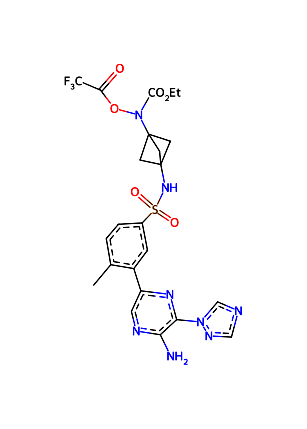 CCOC(=O)N(OC(=O)C(F)(F)F)C12CC(NS(=O)(=O)c3ccc(C)c(-c4cnc(N)c(-n5cncn5)n4)c3)(C1)C2